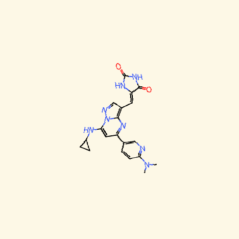 CN(C)c1ccc(-c2cc(NC3CC3)n3ncc(/C=C4\NC(=O)NC4=O)c3n2)cn1